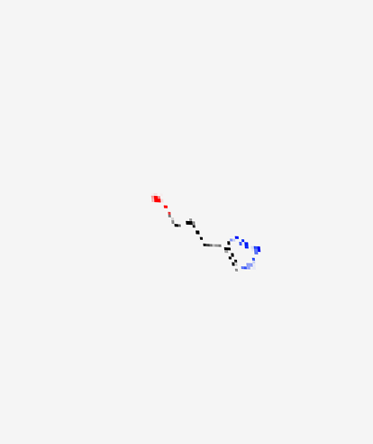 OC=CCc1c[nH]nn1